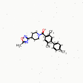 Cc1nc(C2CCN(C(=O)c3cc(C#N)c(-c4ccc(C(F)(F)F)cc4)cc3C(F)(F)F)CC2)no1